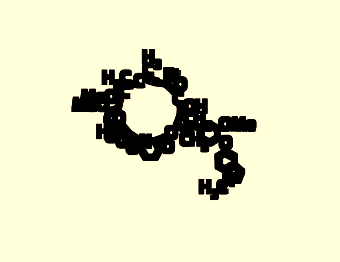 CCC1/C=C(\C)CC(C)CC(OC)C2OC(O)(C(=O)C(=O)N3CCCCC3C(=O)OC(C(C)=CC3CCC(Oc4ccc5c(ccn5C)c4)C(OC)C3)C(C)C(O)CC1=O)C(C)CC2OC